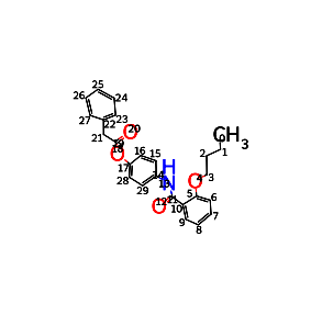 CCCCOc1ccccc1C(=O)Nc1ccc(OC(=O)Cc2ccccc2)cc1